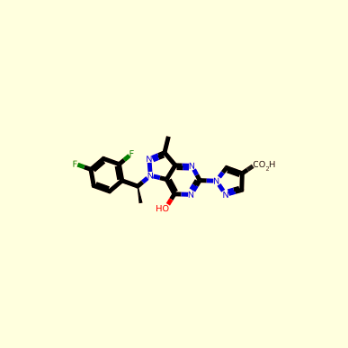 Cc1nn([C@@H](C)c2ccc(F)cc2F)c2c(O)nc(-n3cc(C(=O)O)cn3)nc12